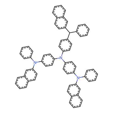 c1ccc(C(c2ccc(N(c3ccc(N(c4ccccc4)c4ccc5ccccc5c4)cc3)c3ccc(N(c4ccccc4)c4ccc5ccccc5c4)cc3)cc2)c2ccc3ccccc3c2)cc1